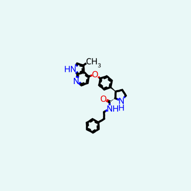 Cc1c[nH]c2nccc(Oc3ccc([C@H]4CCN[C@@H]4C(=O)NCCc4ccccc4)cc3)c12